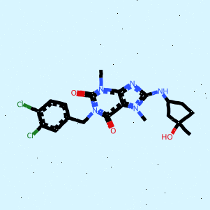 Cn1c(NC2CCC(C)(O)C2)nc2c1c(=O)n(Cc1ccc(Cl)c(Cl)c1)c(=O)n2C